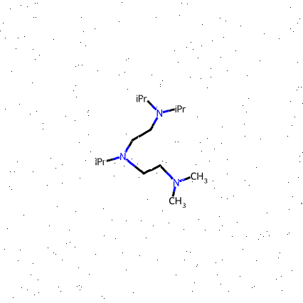 CC(C)N(CCN(C)C)CCN(C(C)C)C(C)C